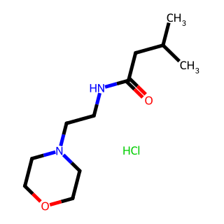 CC(C)CC(=O)NCCN1CCOCC1.Cl